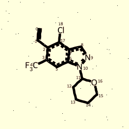 C=Cc1c(C(F)(F)F)cc2c(cnn2C2CCCCO2)c1Cl